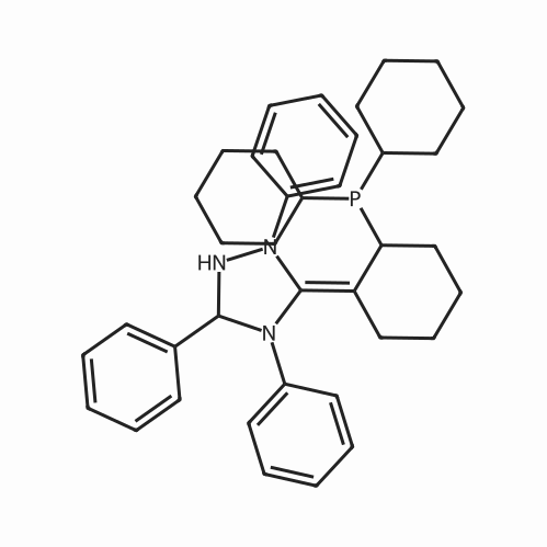 c1ccc(C2NN(c3ccccc3)C(=C3CCCCC3P(C3CCCCC3)C3CCCCC3)N2c2ccccc2)cc1